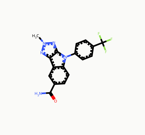 Cn1nc2c3cc(C(N)=O)ccc3n(-c3ccc(C(F)(F)F)cc3)c2n1